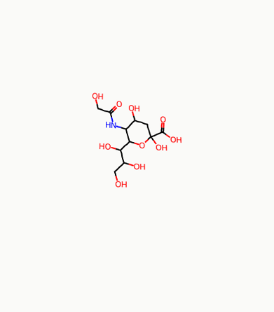 O=C(CO)NC1C(O)CC(O)(C(=O)O)OC1C(O)C(O)CO